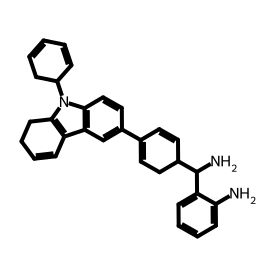 Nc1ccccc1C(N)C1C=CC(c2ccc3c(c2)c2c(n3C3C=CC=CC3)CCC=C2)=CC1